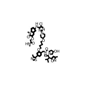 CNC(=O)COc1cc2cc(Nc3nc(N4CCC(OCCCCOc5cc(-c6scnc6C)ccc5CNC(=O)[C@@H]5C[C@@H](O)CN5C(=O)C(c5cc(C)no5)C(C)C)CC4)ncc3Cl)ccc2n(C)c1=O